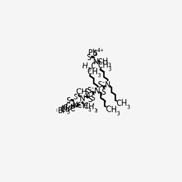 CCCCCN(CCCCC)C(=S)[S-].CCCCCN(CCCCC)C(=S)[S-].CCN(CC)C(=S)[S-].CN(C)C(=S)[S-].CN(C)C(=S)[S-].[Bi+3].[Cd+2].[Cd+2].[Cu+2].[Pb+4]